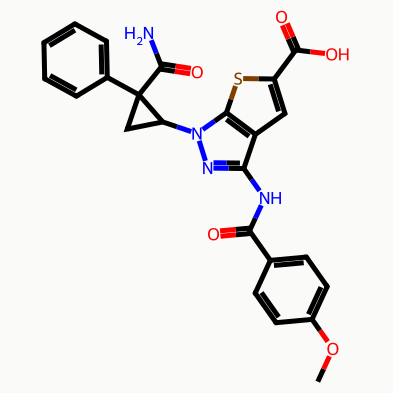 COc1ccc(C(=O)Nc2nn(C3CC3(C(N)=O)c3ccccc3)c3sc(C(=O)O)cc23)cc1